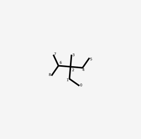 CCC(C)(CC)C(C)C